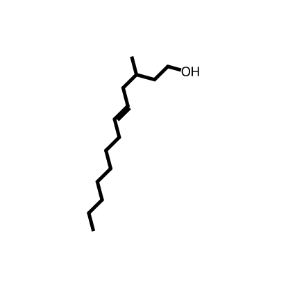 CCCCCCCC=CCC(C)CCO